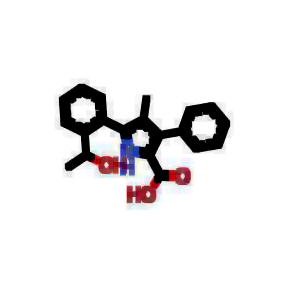 Cc1c(-c2ccccc2C(C)O)[nH]c(C(=O)O)c1-c1ccccc1